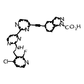 O=C(O)n1ncc2cc(C#Cc3ccnc(-c4ccnc(NCc5c(Cl)ccnc5F)n4)n3)ccc21